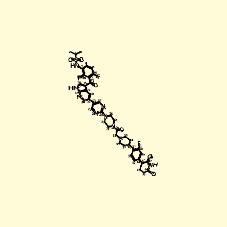 CC(C)S(=O)(=O)Nc1ccc(F)c(C(=O)c2c[nH]c3ncc(-c4cnc(N5CCN(C(=O)CN6CCC(c7ccc(C8CCC(=O)NC8=O)cc7F)CC6)CC5)nc4)cc23)c1F